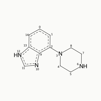 c1cc(N2CCNCC2)c2nc[nH]c2c1